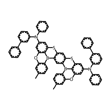 Cc1ccc2c(c1)Oc1cc(N(c3ccccc3)c3cccc(-c4ccccc4)c3)cc3c1B2c1cc2c(cc1S3)Sc1cc(N(c3ccccc3)c3cccc(-c4ccccc4)c3)cc3c1B2c1ccc(C)cc1O3